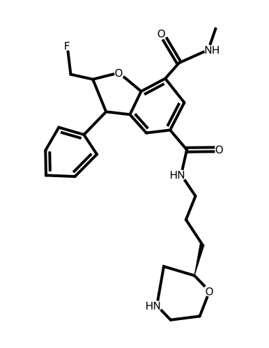 CNC(=O)c1cc(C(=O)NCCC[C@@H]2CNCCO2)cc2c1OC(CF)C2c1ccccc1